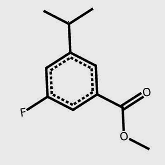 COC(=O)c1cc(F)cc([C](C)C)c1